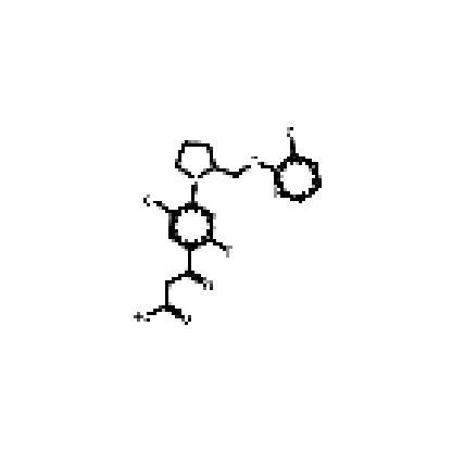 O=C(O)CC(=O)c1cc(Cl)c(N2CCCC2COc2ncccc2Cl)cc1F